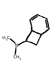 CN(C)C1CC2C=CC=CC21